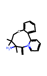 C=C1[n+]2ccccc2-c2ccccc2CCC(C)(C)C1(C)N